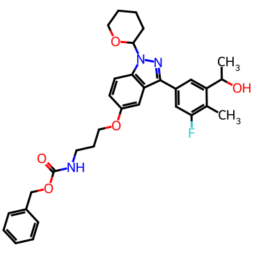 Cc1c(F)cc(-c2nn(C3CCCCO3)c3ccc(OCCCNC(=O)OCc4ccccc4)cc23)cc1C(C)O